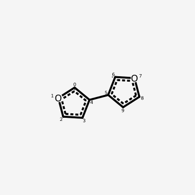 [c]1occc1-c1[c]occ1